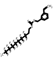 C=Cc1cccc(CSC(=S)SCCC(F)(F)C(F)(F)C(F)(F)C(F)(F)C(F)(F)C(F)(F)C(F)(F)C(F)(F)F)c1